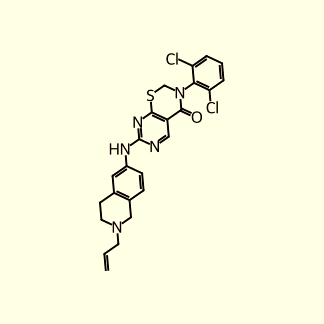 C=CCN1CCc2cc(Nc3ncc4c(n3)SCN(c3c(Cl)cccc3Cl)C4=O)ccc2C1